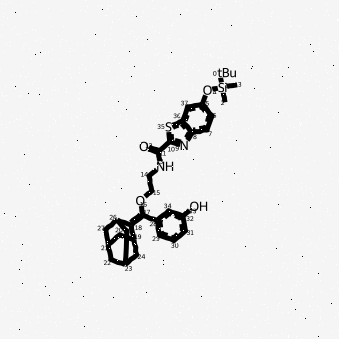 CC(C)(C)[Si](C)(C)Oc1ccc2nc(C(=O)NCCOC(=C3C4CC5CC(C4)CC3C5)c3cccc(O)c3)sc2c1